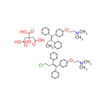 CC/C(=C(\c1ccccc1)c1ccc(OCCN(C)C)cc1)c1ccccc1.CN(C)CCOc1ccc(/C(=C(/CCCl)c2ccccc2)c2ccccc2)cc1.O=C(O)CC(O)(CC(=O)O)C(=O)O